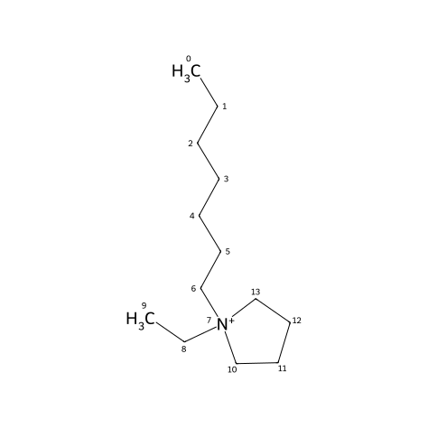 CCCCCCC[N+]1(CC)CCCC1